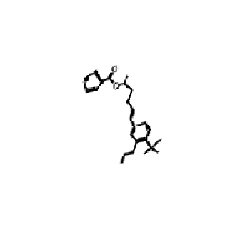 CCCc1cc(C=CCCC(C)OC(=O)c2ccccc2)ccc1C(C)(C)C